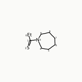 CCC(=S)N1CCCCCC1